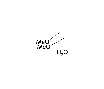 COC.COC.O